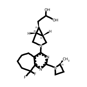 C[C@H]1CCN1c1nc(N2C[C@@H]3[C@@H](CC(O)O)[C@@H]3C2)c2c(n1)C(F)(F)CCCC2